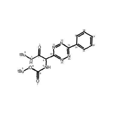 CC(C)(C)NC(=O)C(NC(=O)OC(C)(C)C)c1nnc(-c2ccccc2)nn1